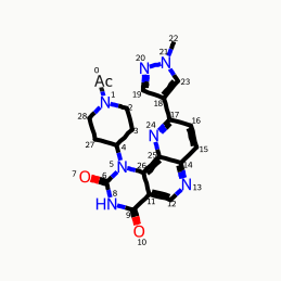 CC(=O)N1CCC(n2c(=O)[nH]c(=O)c3cnc4ccc(-c5cnn(C)c5)nc4c32)CC1